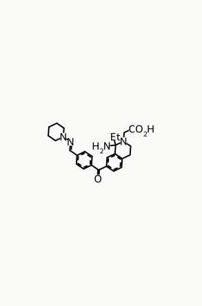 CCC1(N)c2cc(C(=O)c3ccc(C=NN4CCCCC4)cc3)ccc2CCN1CC(=O)O